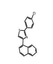 Clc1ccc(-c2nc(-c3cccc4ccccc34)cs2)cc1